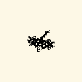 CCCCCCn1c2cc3c(=O)n(C(CC)CC)c(=O)c4ccc5c6c(Br)cc7c(=O)n(C(CC)CC)c(=O)c8cc1c(c6c78)c2c5c43